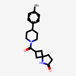 CC(C)(C)c1ccc(C2CCN(C(=O)C3CC4(CCC(=O)N4)C3)CC2)cc1